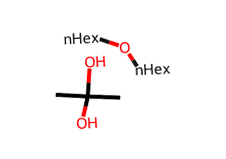 CC(C)(O)O.CCCCCCOCCCCCC